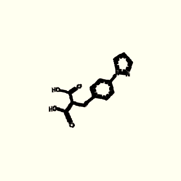 O=C(O)C(Cc1ccc(-n2cccn2)cc1)C(=O)O